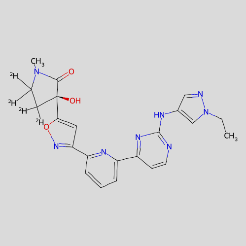 [2H]C1([2H])N(C)C(=O)[C@](O)(c2cc(-c3cccc(-c4ccnc(Nc5cnn(CC)c5)n4)n3)no2)C1([2H])[2H]